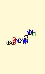 Cc1nc(Cl)cc(-c2ccc3c(c2)nnn3C2CCN(C(=O)OC(C)(C)C)CC2)n1